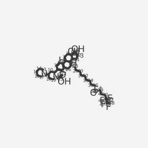 C[C@]12CC[C@@H]3c4ccc(C5CC(N6CCCCC6)CCN5C(=O)O)cc4C[C@@H](CCCCCCCCC[S+]([O-])CCCC(F)(F)C(F)(F)F)[C@H]3[C@@H]1CC[C@@H]2O